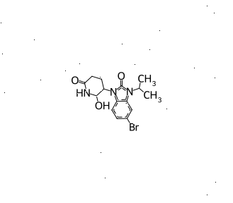 CC(C)n1c(=O)n(C2CCC(=O)NC2O)c2ccc(Br)cc21